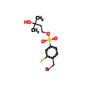 CC(C)(O)CCOS(=O)(=O)c1ccc(CBr)c(F)c1